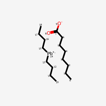 CCCCCCCC(=O)[O-].CCC[CH2][Pb+][CH2]CCC